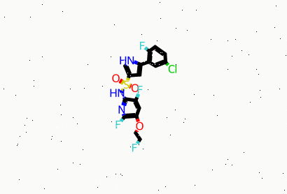 O=S(=O)(Nc1nc(F)c(OCCF)cc1F)c1c[nH]c(-c2cc(Cl)ccc2F)c1